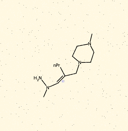 CCC/C(=C\N(C)N)CN1CCN(C)CC1